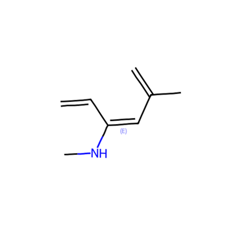 C=C/C(=C\C(=C)C)NC